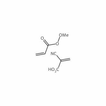 C=C(C#N)C(=O)O.C=CC(=O)OOC